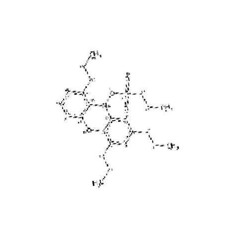 CCCc1cc(CCC)c2c(c1)N(OS(=O)(=O)CCC)c1c(CCC)cccc1O2